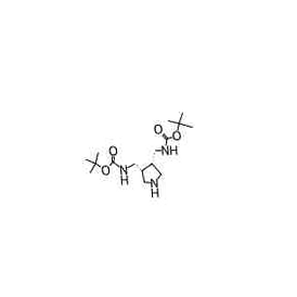 CC(C)(C)OC(=O)NC[C@H]1CNC[C@H]1CNC(=O)OC(C)(C)C